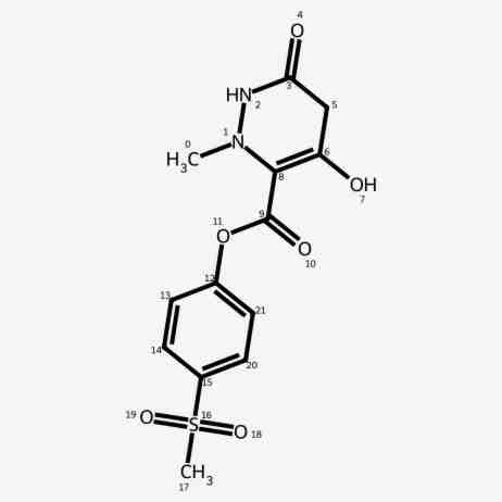 CN1NC(=O)CC(O)=C1C(=O)Oc1ccc(S(C)(=O)=O)cc1